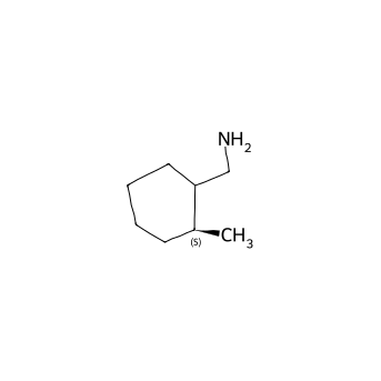 C[C@H]1CCCCC1CN